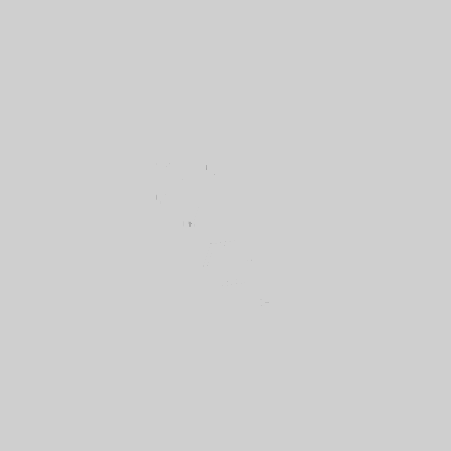 C=P(C)(O)SNc1ccc(C)cc1